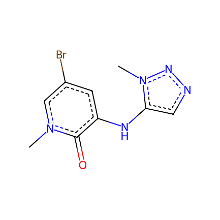 Cn1nncc1Nc1cc(Br)cn(C)c1=O